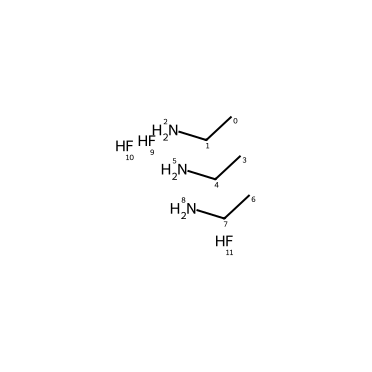 CCN.CCN.CCN.F.F.F